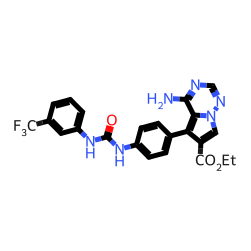 CCOC(=O)c1cn2ncnc(N)c2c1-c1ccc(NC(=O)Nc2cccc(C(F)(F)F)c2)cc1